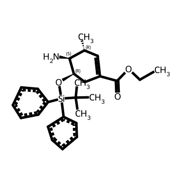 CCOC(=O)C1=C[C@@H](C)[C@H](N)[C@H](O[Si](c2ccccc2)(c2ccccc2)C(C)(C)C)C1